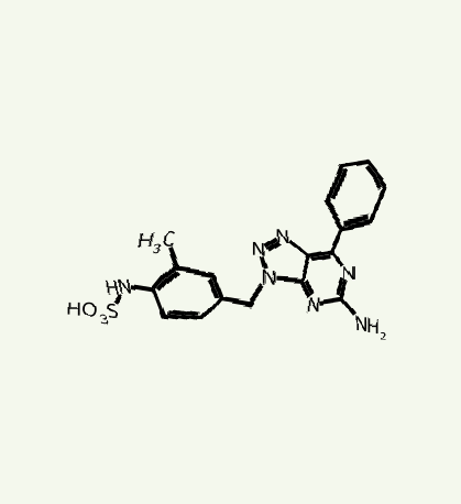 Cc1cc(Cn2nnc3c(-c4ccccc4)nc(N)nc32)ccc1NS(=O)(=O)O